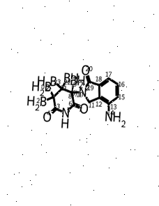 BC1(B)C(=O)NC(=O)[C@@](B)(N2Cc3c(N)cccc3C2=O)C1(B)B